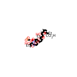 CC[C@@H](C(=O)[C@@H](C)[C@@H](O)[C@H](C)[C@@H]1O[C@@H]([C@@H](CC)C(=O)O)CC[C@@H]1C)[C@H]1O[C@]2(C=C[C@@H](NC(=O)OCCS(C)(=O)=O)[C@]3(CC[C@@](C)([C@H]4CC[C@](O)(CC)[C@H](C)O4)O3)O2)[C@H](C)C[C@@H]1C